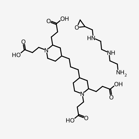 NCCNCCNCC1CO1.O=C(O)CCC1CC(CCCC2CCN(CCC(=O)O)C(CCC(=O)O)C2)CCN1CCC(=O)O